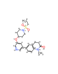 CCS(=O)(=O)N1CCC(Oc2cncc(-c3ccc4c(c3)CCC(=O)N4C)c2)CC1